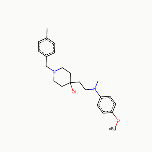 CCCCOc1ccc(N(C)CCC2(O)CCN(Cc3ccc(C)cc3)CC2)cc1